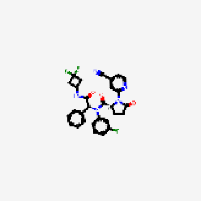 N#Cc1ccnc(N2C(=O)CC[C@H]2C(=O)N(c2cccc(F)c2)[C@H](C(=O)NC2CC(F)(F)C2)c2ccccc2)c1